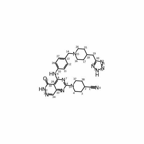 N#CC1CCN(c2nc(Nc3ccc(CN4CCC(Cc5nn[nH]n5)CC4)cc3)c3c(=O)[nH]ncc3n2)CC1